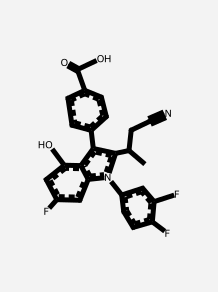 CC(CC#N)c1c(-c2ccc(C(=O)O)cc2)c2c(O)cc(F)cc2n1-c1ccc(F)c(F)c1